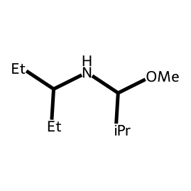 CCC(CC)NC(OC)C(C)C